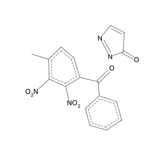 Cc1ccc(C(=O)c2ccccc2)c([N+](=O)[O-])c1[N+](=O)[O-].O=C1C=CN=N1